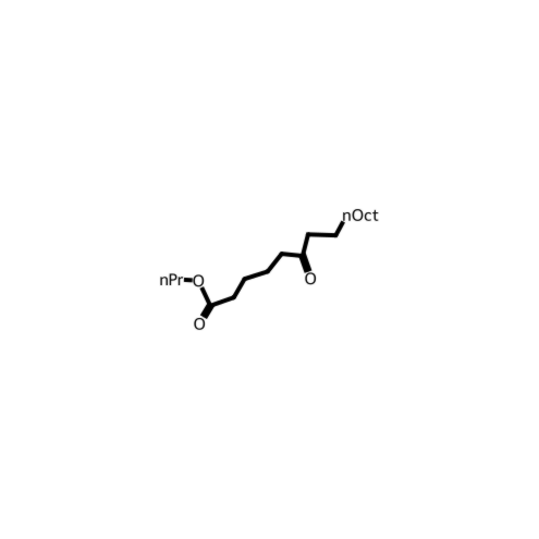 CCCCCCCCCCC(=O)CCCCC(=O)OCCC